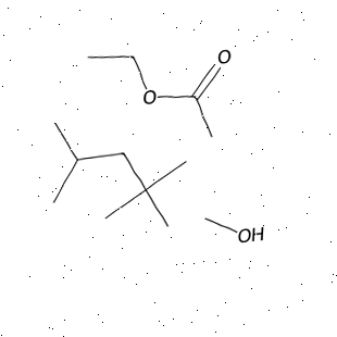 CC(C)CC(C)(C)C.CCOC(C)=O.CO